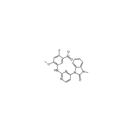 COc1cc(F)c([N+](=O)[O-])cc1Nc1nccc(-n2c(=O)n(C)c3ccccc32)n1